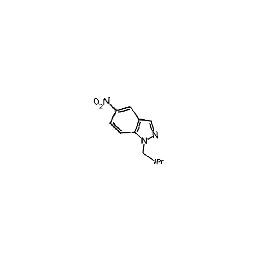 CC(C)Cn1ncc2cc([N+](=O)[O-])ccc21